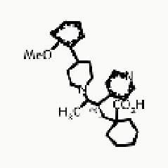 COc1ccccc1C1CCN(C(C)[C@H]([CH]C2(C(=O)O)CCCCC2)c2ccncc2)CC1